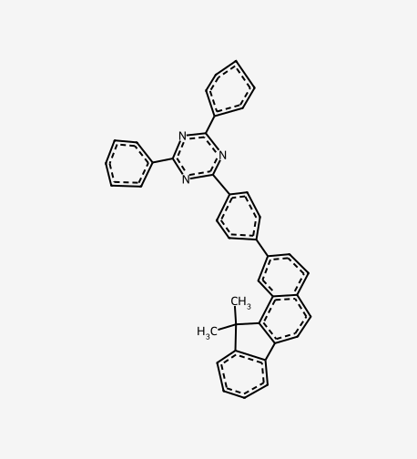 CC1(C)c2ccccc2-c2ccc3ccc(-c4ccc(-c5nc(-c6ccccc6)nc(-c6ccccc6)n5)cc4)cc3c21